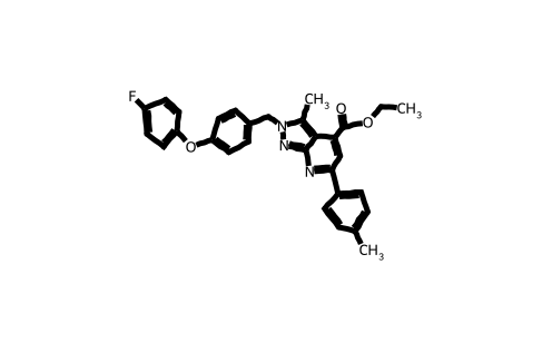 CCOC(=O)c1cc(-c2ccc(C)cc2)nc2nn(Cc3ccc(Oc4ccc(F)cc4)cc3)c(C)c12